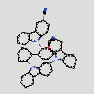 N#Cc1ccc2c(c1)c1ccccc1n2-c1c(C#N)cccc1-c1ccccc1-n1c2ccccc2c2ccc(-n3c4ccccc4c4ccccc43)cc21